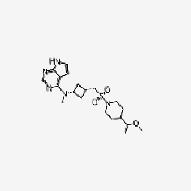 COC(C)C1CCN(S(=O)(=O)C[C@H]2C[C@@H](N(C)c3ncnc4[nH]ccc34)C2)CC1